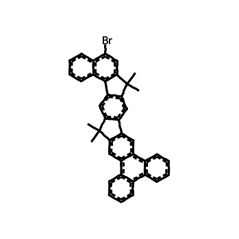 CC1(C)c2cc3c(cc2-c2cc4c5ccccc5c5ccccc5c4cc21)C(C)(C)c1cc(Br)c2ccccc2c1-3